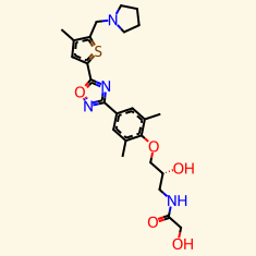 Cc1cc(-c2nc(-c3cc(C)c(OC[C@H](O)CNC(=O)CO)c(C)c3)no2)sc1CN1CCCC1